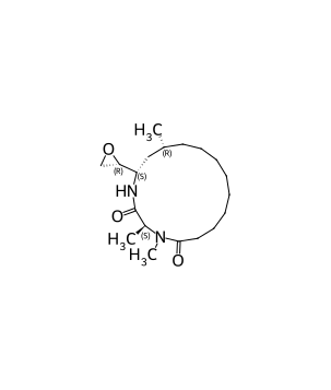 C[C@@H]1CCCCCCCCC(=O)N(C)[C@@H](C)C(=O)N[C@H]([C@@H]2CO2)C1